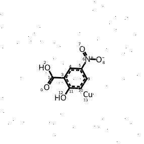 O=C(O)c1cc([N+](=O)[O-])ccc1O.[Cu]